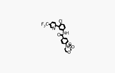 O=C(Nc1ccc(Cl)c(-c2ccc(C(F)(F)F)cn2)c1)c1ccc(N2CCOCS2(=O)=O)cc1